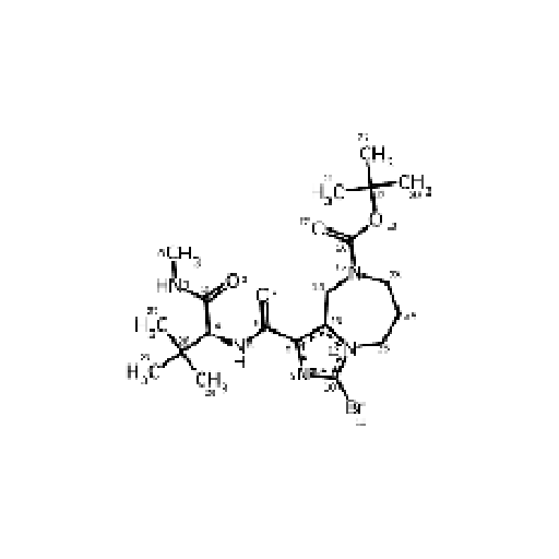 CNC(=O)[C@@H](NC(=O)c1nc(Br)n2c1CN(C(=O)OC(C)(C)C)CCC2)C(C)(C)C